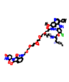 C=N/C(=C\C=C/C)COc1ccc(Nc2c(C#N)cnc3cc(OCC)c(NC(=O)CCOCCOCCOCCOCCOCCNc4cccc5c4C(=O)N(C4CCC(=O)NC4=O)C5=O)cc23)cc1Cl